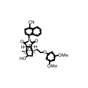 COc1cc(OC)cc(OCC[C@@]23CC(O)[C@@](C)(O2)[C@H]2C(=O)N(c4ccc(C#N)c5ccccc45)C(=O)[C@H]23)c1